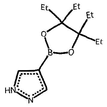 CCC1(CC)OB(c2cn[nH]c2)OC1(CC)CC